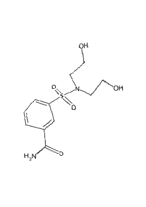 NC(=O)c1cccc(S(=O)(=O)N(CCO)CCO)c1